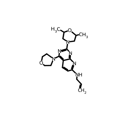 C=CCNc1ccc2c(N3CCOCC3)nc(N3CC(C)OC(C)C3)nc2n1